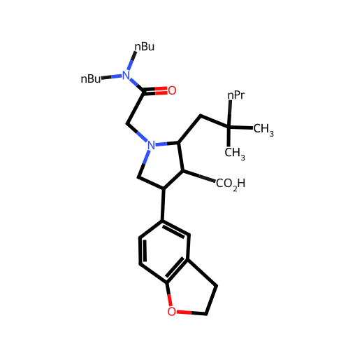 CCCCN(CCCC)C(=O)CN1CC(c2ccc3c(c2)CCO3)C(C(=O)O)C1CC(C)(C)CCC